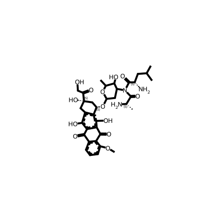 COc1cccc2c1C(=O)c1c(O)c3c(c(O)c1C2=O)C[C@@](O)(C(=O)CO)C[C@@H]3OC1CC(N(C(=O)[C@H](C)N)C(=O)[C@@H](N)CC(C)C)C(O)C(C)O1